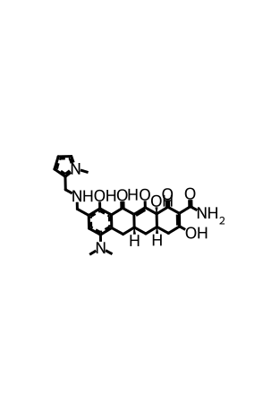 CN(C)c1cc(CNCc2cccn2C)c(O)c2c1C[C@H]1C[C@H]3CC(O)=C(C(N)=O)C(=O)[C@@]3(O)C(O)=C1C2=O